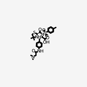 Cc1ccc(S(=O)(=O)N(C(=O)[C@H]2NC(C)(C)CS2)[C@@H](Cc2ccc(NC(=O)CN(C)C)cc2)C(=O)O)cc1